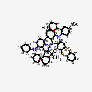 Cc1cc2c3c(c1)N(c1ccc(C(C)(C)C)cc1-c1ccccc1)c1cc4c(cc1B3n1c3c(c5c(N(c6ccccc6)c6ccccc6)ccc-2c51)-c1ccccc1C3(C)C)Sc1ccccc1S4